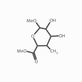 COC(=O)C1OC(OC)C(O)C(O)C1C